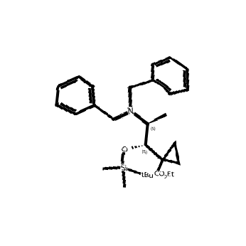 CCOC(=O)C1([C@H](O[Si](C)(C)C(C)(C)C)[C@H](C)N(Cc2ccccc2)Cc2ccccc2)CC1